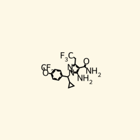 NC(=O)c1c(CC(F)(F)F)nn(C(c2ccc(OC(F)(F)F)cc2)C2CC2)c1N